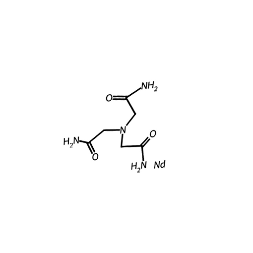 NC(=O)CN(CC(N)=O)CC(N)=O.[Nd]